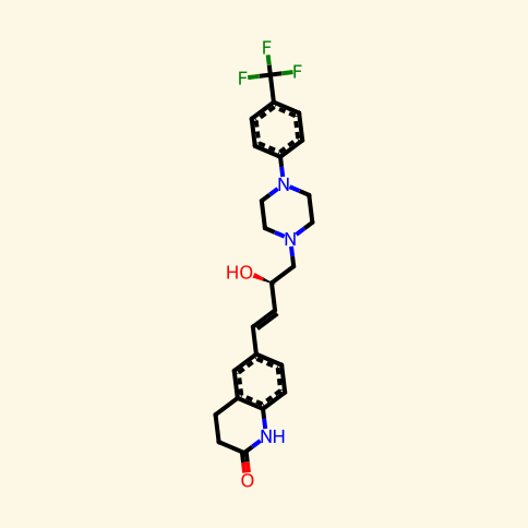 O=C1CCc2cc(/C=C/[C@@H](O)CN3CCN(c4ccc(C(F)(F)F)cc4)CC3)ccc2N1